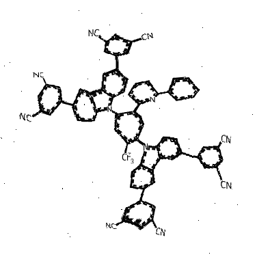 N#Cc1cc(C#N)cc(-c2ccc3c(c2)c2cc(-c4cc(C#N)cc(C#N)c4)ccc2n3-c2cc(C(F)(F)F)c(-n3c4ccc(-c5cc(C#N)cc(C#N)c5)cc4c4cc(-c5cc(C#N)cc(C#N)c5)ccc43)cc2-c2cccc(-c3ccccc3)n2)c1